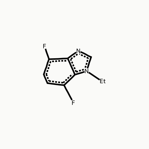 CCn1cnc2c(F)ccc(F)c21